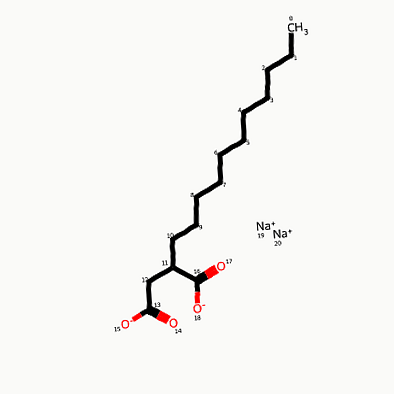 CCCCCCCCCCCC(CC(=O)[O-])C(=O)[O-].[Na+].[Na+]